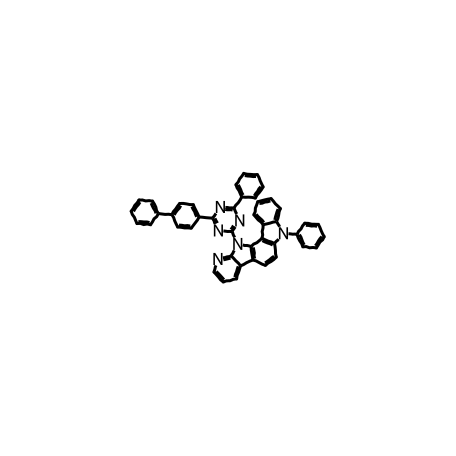 c1ccc(-c2ccc(-c3nc(-c4ccccc4)nc(-n4c5ncccc5c5ccc6c(c7ccccc7n6-c6ccccc6)c54)n3)cc2)cc1